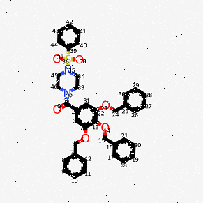 O=C(c1cc(OCc2ccccc2)c(OCc2ccccc2)c(OCc2ccccc2)c1)N1CCN(S(=O)(=O)c2ccccc2)CC1